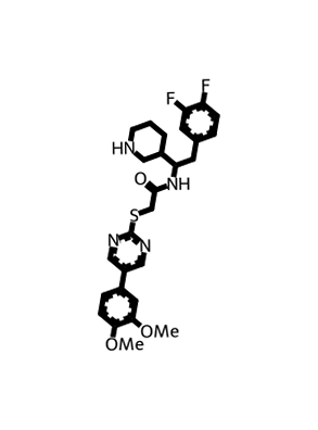 COc1ccc(-c2cnc(SCC(=O)NC(Cc3ccc(F)c(F)c3)C3CCCNC3)nc2)cc1OC